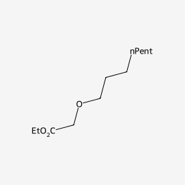 CCCCCCCCOCC(=O)OCC